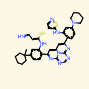 CC1(c2ccc(C3=NC4=NC=NC5=NC(c6ccc(N7CCCCC7)cc6Nc6ccns6)=CC(=C3)N45)c(N/C(S)=C/C=N)c2)CCCCC1